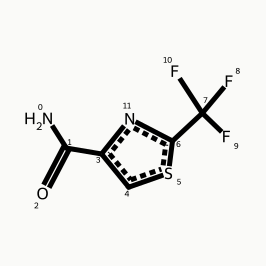 NC(=O)c1csc(C(F)(F)F)n1